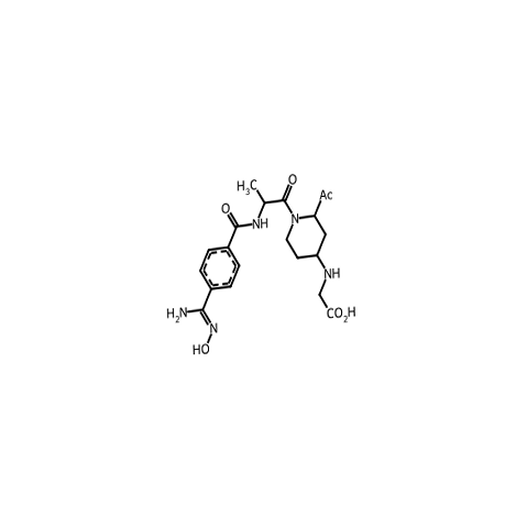 CC(=O)C1CC(NCC(=O)O)CCN1C(=O)C(C)NC(=O)c1ccc(C(N)=NO)cc1